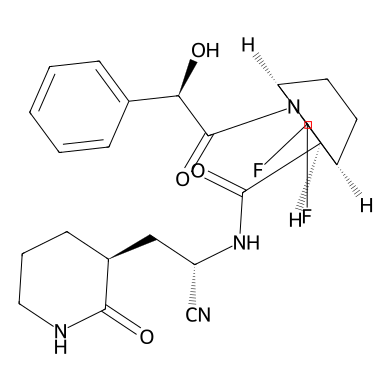 N#C[C@H](C[C@@H]1CCCNC1=O)NC(=O)[C@@H]1[C@@H]2CC[C@@H](CC2(F)F)N1C(=O)[C@H](O)c1ccccc1